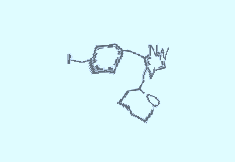 Ic1ccc(-c2nncn2C2CCCCO2)cc1